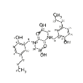 CCCc1ccc(O)c(CN(CCN(CC(=O)O)Cc2cc(CCC)ccc2O)CC(=O)O)c1